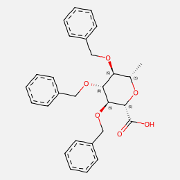 C[C@@H]1O[C@H](C(=O)O)[C@@H](OCc2ccccc2)[C@H](OCc2ccccc2)[C@H]1OCc1ccccc1